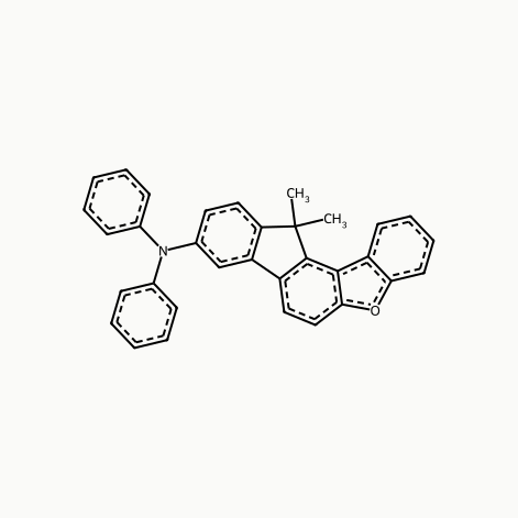 CC1(C)c2ccc(N(c3ccccc3)c3ccccc3)cc2-c2ccc3oc4ccccc4c3c21